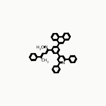 C=N/C(=C\C=C(/C)c1ccccc1)c1cc(-c2cc(-c3ccccc3)nc(-c3ccccc3)c2)cc(-c2cc3ccccc3c3ccccc23)c1